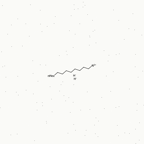 CCCCCCCCCCCCC[CH2][Al+2].[H-].[H-]